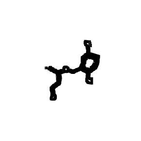 [CH2]C(CC=O)OCc1cc(Cl)ccc1Cl